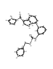 O=C(Nc1cccc(-c2ccnc3c(C(=O)c4cccs4)cnn23)c1)OCc1ccncc1